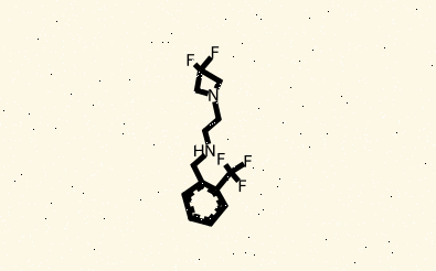 FC1(F)CN(CCNCc2ccccc2C(F)(F)F)C1